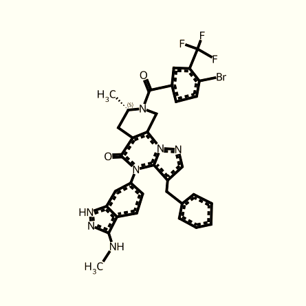 CNc1n[nH]c2cc(-n3c(=O)c4c(n5ncc(Cc6ccccc6)c35)CN(C(=O)c3ccc(Br)c(C(F)(F)F)c3)[C@@H](C)C4)ccc12